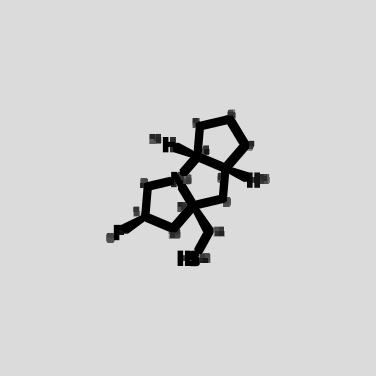 F[C@H]1CN2[C@@H]3CCC[C@@H]3C[C@]2(CS)C1